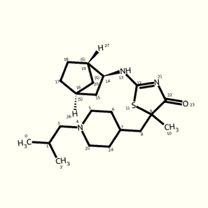 CC(C)CN1CCC(CC2(C)SC(N[C@H]3C[C@H]4CC[C@H]3C4)=NC2=O)CC1